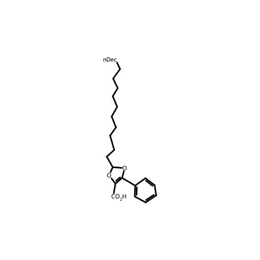 CCCCCCCCCCCCCCCCCCCCC1OC(C(=O)O)=C(c2ccccc2)O1